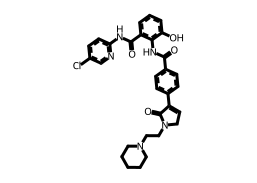 O=C(Nc1c(O)cccc1C(=O)Nc1ccc(Cl)cn1)c1ccc(C2=CCN(CCN3CCCCC3)C2=O)cc1